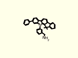 CC1(C)c2ccccc2-c2ccc3c4ccc(-c5ccccc5)cc4n(-c4cccc(CN)c4)c3c21